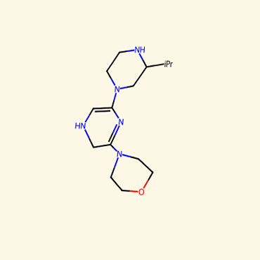 CC(C)C1CN(C2=CNCC(N3CCOCC3)=N2)CCN1